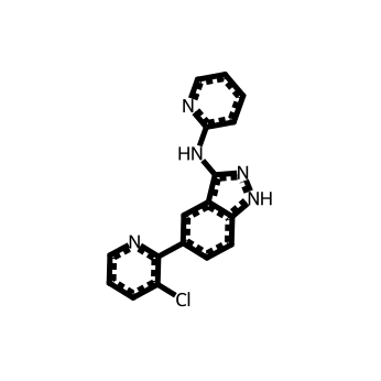 Clc1cccnc1-c1ccc2[nH]nc(Nc3ccccn3)c2c1